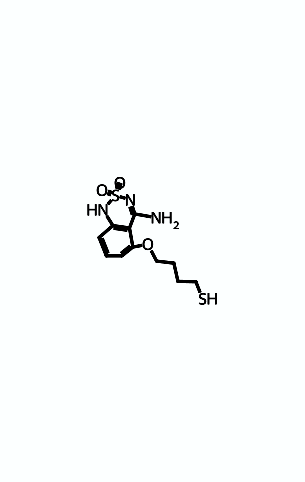 NC1=NS(=O)(=O)Nc2cccc(OCCCCS)c21